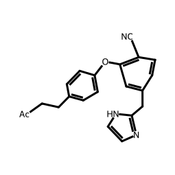 CC(=O)CCc1ccc(Oc2cc(Cc3ncc[nH]3)ccc2C#N)cc1